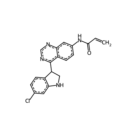 C=CC(=O)Nc1ccc2c(C3CNc4cc(Cl)ccc43)ncnc2c1